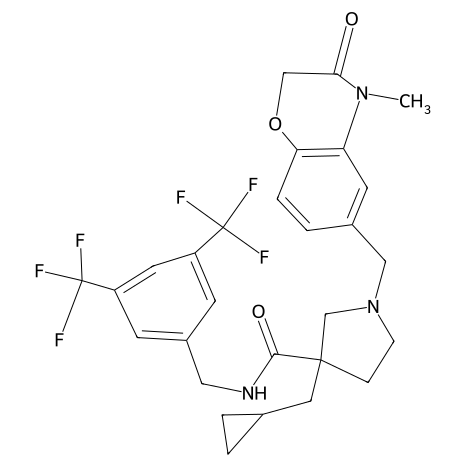 CN1C(=O)COc2ccc(CN3CCC(CC4CC4)(C(=O)NCc4cc(C(F)(F)F)cc(C(F)(F)F)c4)C3)cc21